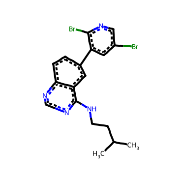 CC(C)CCNc1ncnc2ccc(-c3cc(Br)cnc3Br)cc12